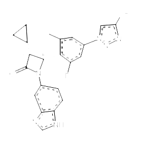 O=C1[C@H](C2CC2)[C@H](c2c(F)cc(-n3cc(C(F)(F)F)nn3)cc2F)N1c1ccc2[nH]cnc2c1